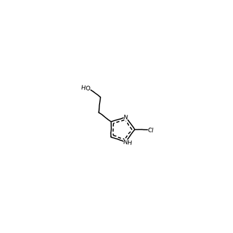 OCCc1c[nH]c(Cl)n1